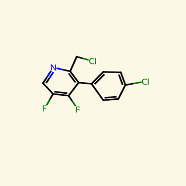 Fc1cnc(CCl)c(-c2ccc(Cl)cc2)c1F